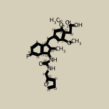 COc1cc(CC2c3ccc(F)cc3C(NC(=O)NCc3ccco3)C2C)cc(OC)c1CC(=O)O